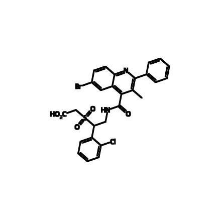 Cc1c(-c2ccccc2)nc2ccc(Br)cc2c1C(=O)NCC(c1ccccc1Cl)S(=O)(=O)CC(=O)O